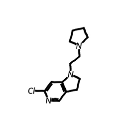 Clc1cc2c(cn1)CCN2CCN1CCCC1